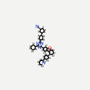 N#Cc1cccc(-c2ccc(-c3nc(-c4ccccc4)nc(-c4ccc5c(c4)oc4cccc(-c6ccc(-c7ccccn7)cc6)c45)n3)cc2)c1